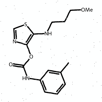 COCCCNc1scnc1OC(=O)Nc1cccc(C)c1